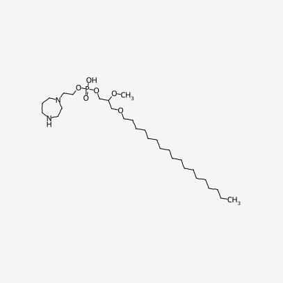 CCCCCCCCCCCCCCCCCCOCC(COP(=O)(O)OCCN1CCCNCC1)OC